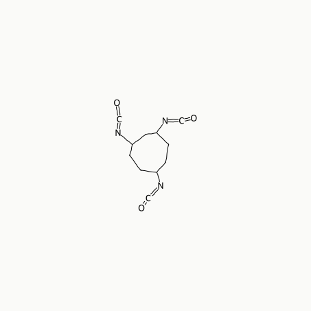 O=C=NC1CCC(N=C=O)CC(N=C=O)CC1